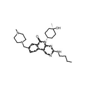 CCCCNc1ncc2c3ccc(CN4CCN(C)CC4)cc3c(=O)n([C@H]3CC[C@](C)(O)CC3)c2n1